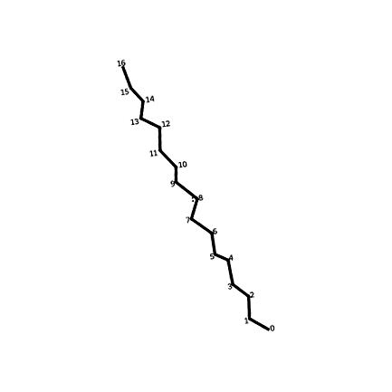 CCCCCCCC[C]CCCCCCCC